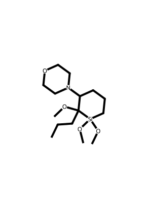 CCCC1(OC)C(N2CCOCC2)CCC[Si]1(OC)OC